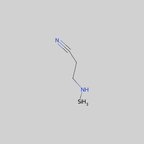 N#CCCN[SiH3]